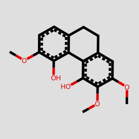 COc1ccc2c(c1O)-c1c(cc(OC)c(OC)c1O)CC2